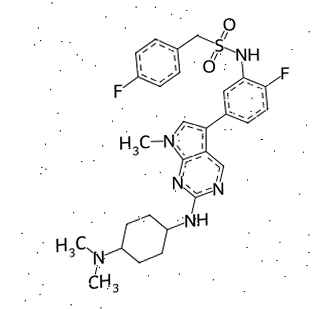 CN(C)C1CCC(Nc2ncc3c(-c4ccc(F)c(NS(=O)(=O)Cc5ccc(F)cc5)c4)cn(C)c3n2)CC1